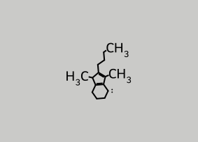 CCCCC1=C(C)C2=C(CCC[C]2)C1C